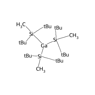 CC(C)(C)[Si](C)([Ga]([Si](C)(C(C)(C)C)C(C)(C)C)[Si](C)(C(C)(C)C)C(C)(C)C)C(C)(C)C